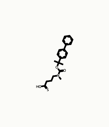 CN(CCCC(O)=S)C(=O)OC(C)(C)c1ccc(-c2ccccc2)cc1